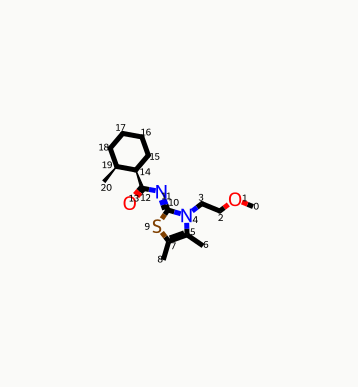 COCCn1c(C)c(C)s/c1=N\C(=O)[C@@H]1CCCC[C@@H]1C